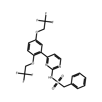 O=S(=O)(Cc1ccccc1)Nc1nccc(-c2cc(OCC(F)(F)F)ccc2OCC(F)(F)F)n1